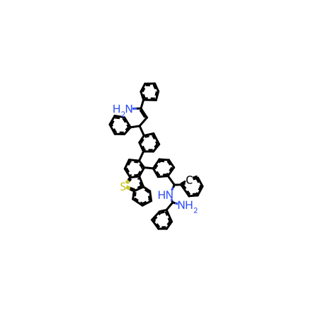 N/C(=C\C(c1ccccc1)c1cccc(-c2ccc3sc4ccccc4c3c2-c2cccc(C(NC(N)c3ccccc3)c3ccccc3)c2)c1)c1ccccc1